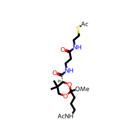 COC1(CCCNC(C)=O)OCC(C)(C)[C@H](C(=O)NCCC(=O)NCCSC(C)=O)O1